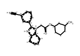 CC1CCCC(OC(=O)Cn2c(-c3cccc(C#N)c3)nc3ccccc32)C1